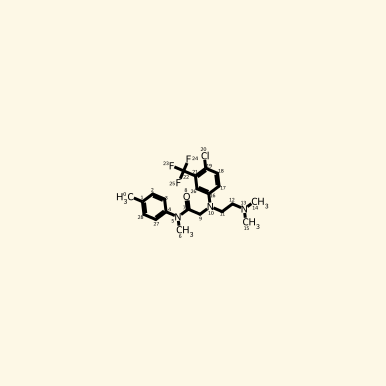 Cc1ccc(N(C)C(=O)CN(CCN(C)C)c2ccc(Cl)c(C(F)(F)F)c2)cc1